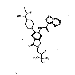 CC(C)(O)C(F)CN1Cc2cc(NC(=O)c3cnn4cccnc34)c(N3CCC([C@H](O)C(F)F)CC3)cc2C1=O